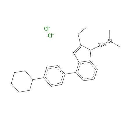 CCC1=Cc2c(-c3ccc(C4CCCCC4)cc3)cccc2[CH]1[Zr+2][Si](C)C.[Cl-].[Cl-]